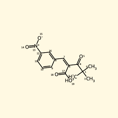 CC(C)(C)C(=O)C(=Cc1cccc([N+](=O)[O-])c1)C(=O)O